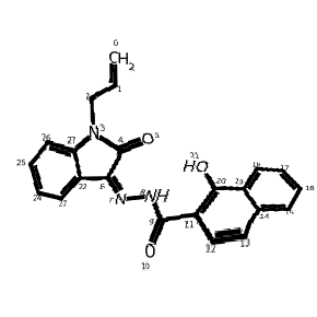 C=CCN1C(=O)/C(=N\NC(=O)c2ccc3ccccc3c2O)c2ccccc21